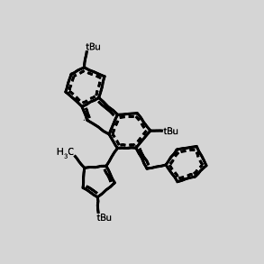 CC1C=C(C(C)(C)C)C=C1c1c2c(cc(C(C)(C)C)c1=Cc1ccccc1)=c1cc(C(C)(C)C)ccc1=[C]2